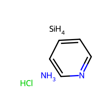 Cl.N.[SiH4].c1ccncc1